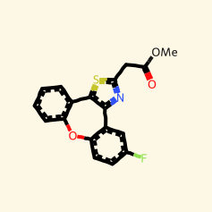 COC(=O)Cc1nc2c(s1)-c1ccccc1Oc1ccc(F)cc1-2